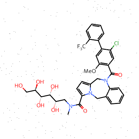 COc1cc(-c2ccccc2C(F)(F)F)c(Cl)cc1C(=O)N1Cc2ccc(C(=O)N(C)C[C@H](O)[C@@H](O)[C@H](O)[C@H](O)CO)n2Cc2ccccc21